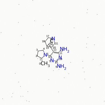 CC1CCCN1c1nc(N)nc(N)c1C1CN2CCC1CC2